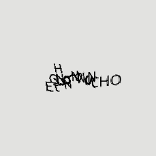 CCc1cc2ncc(CN3CCN(c4ccc(C=O)nc4)CC3)cc2[nH]c1=O